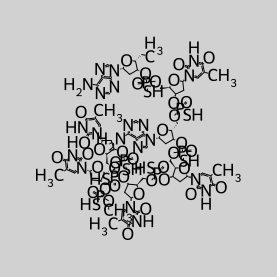 CC[C@H]1O[C@@H](n2cnc3c(N)ncnc32)C[C@H]1OP(=O)(S)OC[C@H]1O[C@@H](n2cc(C)c(=O)[nH]c2=O)C[C@H]1OP(=O)(S)OC[C@H]1O[C@@H](n2cnc3c(N)ncnc32)C[C@H]1OP(=O)(S)OC[C@H]1O[C@@H](n2cc(C)c(=O)[nH]c2=O)C[C@H]1OP(=O)(S)OC[C@H]1O[C@@H](n2cc(C)c(=O)[nH]c2=O)C[C@H]1OP(=O)(S)OC[C@H]1O[C@@H](n2cc(C)c(=O)[nH]c2=O)C[C@H]1OP(=O)(S)OC[C@H]1O[C@@H](n2cc(C)c(=O)[nH]c2=O)C[C@H]1OP(=O)(S)OC